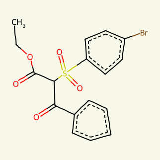 CCOC(=O)C(C(=O)c1ccccc1)S(=O)(=O)c1ccc(Br)cc1